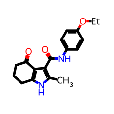 CCOc1ccc(NC(=O)c2c(C)[nH]c3c2C(=O)CCC3)cc1